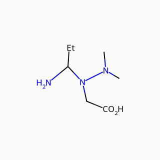 CCC(N)N(CC(=O)O)N(C)C